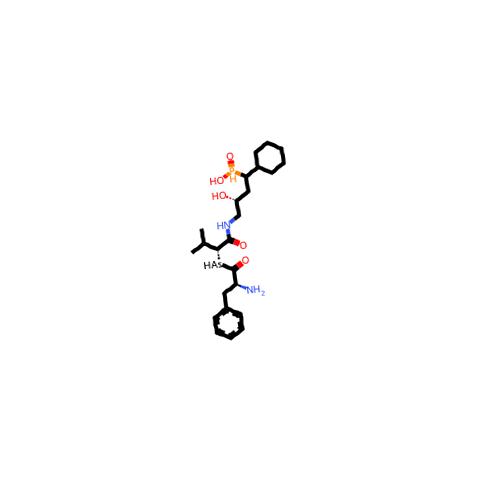 CC(C)[C@@H]([AsH]C(=O)[C@@H](N)Cc1ccccc1)C(=O)NC[C@H](O)CC(C1CCCCC1)[PH](=O)O